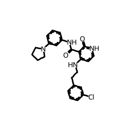 O=C(Nc1cccc(N2CCCC2)c1)c1c(NCCc2cccc(Cl)c2)cc[nH]c1=O